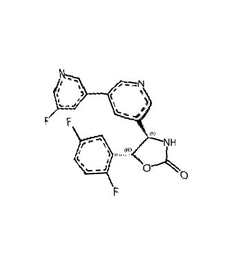 O=C1N[C@H](c2cncc(-c3cncc(F)c3)c2)[C@@H](c2cc(F)ccc2F)O1